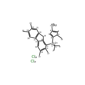 C[C](C)=[Zr+2]([C]1=CC(C(C)(C)C)=CC1C)[c]1c(C)c(C)cc2c1Cc1cc(C)c(C)cc1-2.[Cl-].[Cl-]